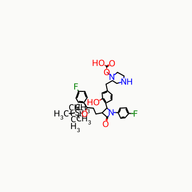 CC(C)(C)[Si](C)(C)OC(CCC1C(=O)N(c2ccc(F)cc2)C1c1ccc(CC2CNCCN2OC(=O)O)cc1O)c1ccc(F)cc1